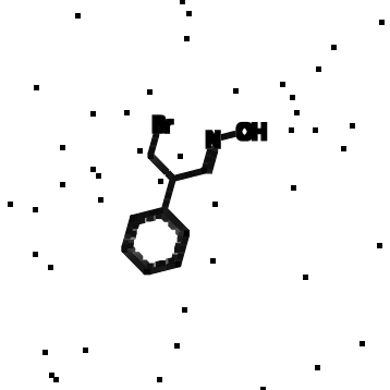 ON=CC(CBr)c1ccccc1